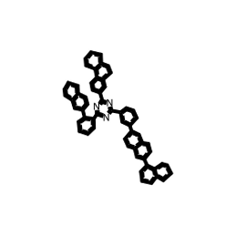 c1cc(-c2ccc3cc(-c4cccc5ccccc45)ccc3c2)cc(-c2nc(-c3ccc4c(ccc5ccccc54)c3)nc(-c3ccccc3-c3ccc4ccccc4c3)n2)c1